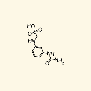 NC(=O)Nc1cccc(NCS(=O)(=O)O)c1